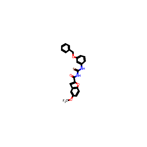 O=C(NC(=S)Nc1cccc(OCc2ccccc2)c1)c1cc2cc(OC(F)(F)F)ccc2o1